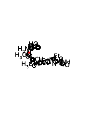 CCc1cn(C2CCN(CC3(F)CCN(C(=O)c4c(C)cc([C@@H]5CN(c6cc(-c7ccccc7O)nnc6N)C[C@H](C)O5)cc4C)CC3)CC2)c2ncc(N3CCC(=O)NC3=O)cc12